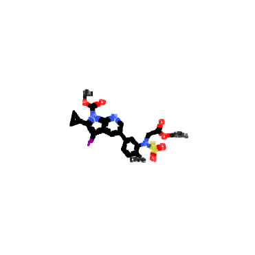 COc1ccc(-c2cnc3c(c2)c(I)c(C2CC2)n3C(=O)OC(C)(C)C)cc1N(CC(=O)OC(C)(C)C)[SH](=O)=O